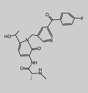 CN[C@H](C)C(=O)Nc1ccc(C(C)O)n(Cc2cncc(C(=O)c3ccc(F)cc3)c2)c1=O